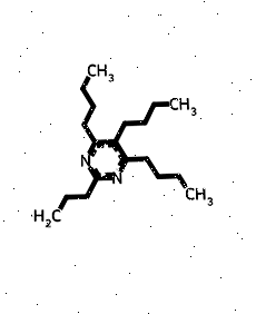 [CH2]CCc1nc(CCCC)c(CCCC)c(CCCC)n1